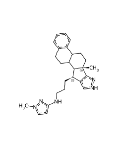 Cn1ccc(NCCC[C@@H]2c3c[nH]nc3[C@@]3(C)CCC4c5ccccc5CCC4C23)n1